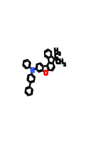 CC1(C)c2ccccc2-c2c1ccc1oc3cc(N(c4ccccc4)c4ccc(-c5ccccc5)cc4)ccc3c21